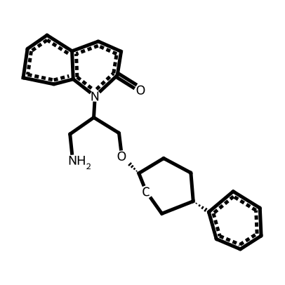 NCC(CO[C@H]1CC[C@@H](c2ccccc2)CC1)n1c(=O)ccc2ccccc21